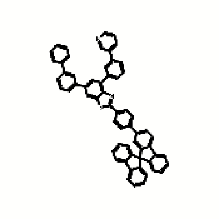 c1ccc(-c2cccc(-c3cc(-c4cccc(-c5cccnc5)c4)c4nc(-c5ccc(-c6ccc7c(c6)C6(c8ccccc8-c8ccccc86)c6ccccc6-7)cc5)sc4c3)c2)cc1